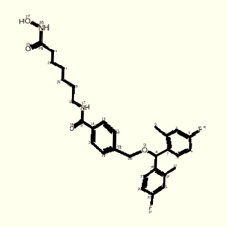 Cc1cc(F)ccc1C(OCc1ccc(C(=O)NCCCCCCC(=O)NO)cc1)c1ccc(F)cc1C